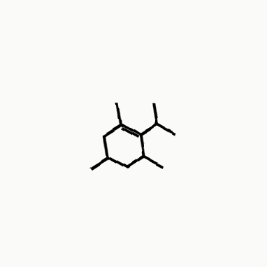 CC1=C(C(C)C)C(C)CC(C)C1